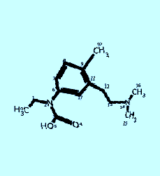 CCN(C(=O)O)c1ccc(C)c(CCN(C)C)c1